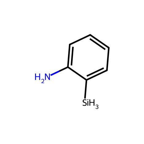 Nc1ccccc1[SiH3]